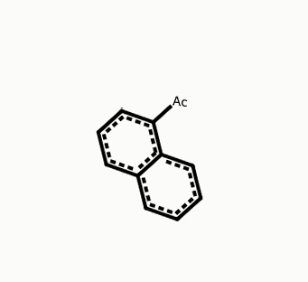 CC(=O)c1[c]ccc2ccccc12